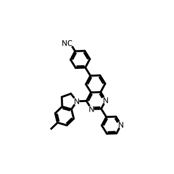 Cc1ccc2c(c1)CCN2c1nc(-c2cccnc2)nc2ccc(-c3ccc(C#N)cc3)cc12